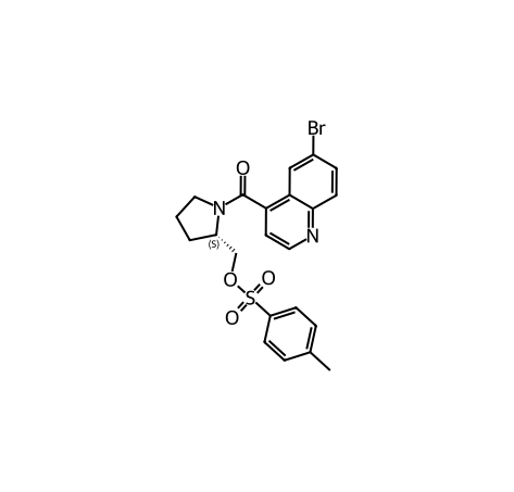 Cc1ccc(S(=O)(=O)OC[C@@H]2CCCN2C(=O)c2ccnc3ccc(Br)cc23)cc1